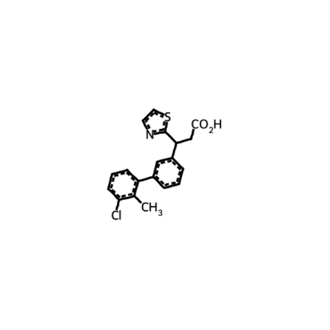 Cc1c(Cl)cccc1-c1cccc(C(CC(=O)O)c2nccs2)c1